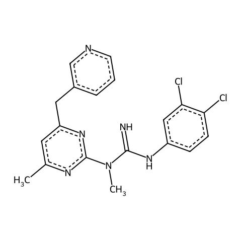 Cc1cc(Cc2cccnc2)nc(N(C)C(=N)Nc2ccc(Cl)c(Cl)c2)n1